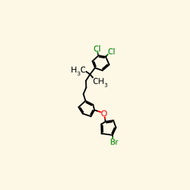 CC(C)(CCCc1cccc(Oc2ccc(Br)cc2)c1)c1ccc(Cl)c(Cl)c1